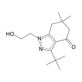 CC1(C)CC(=O)c2c(C(C)(C)C)nn(CCO)c2C1